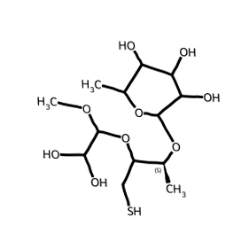 COC(OC(CS)[C@H](C)OC1OC(C)C(O)C(O)C1O)C(O)O